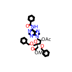 COC(=O)C[C@@]1(COCc2ccccc2)O[C@@H](n2cnc3c(NC(=O)c4ccccc4)ncnc32)[C@H](OC(C)=O)[C@@H]1OCc1ccccc1